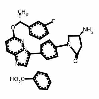 C[C@@H](Oc1ccc2ncc(-c3ccc(N4C[C@@H](N)CC4=O)cc3)n2n1)c1cccc(F)c1.O=C(O)c1ccccc1